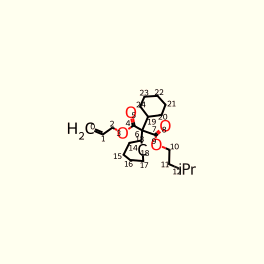 C=CCOC(=O)C(C(=O)OCCC(C)C)(C1CCCCC1)C1CCCCC1